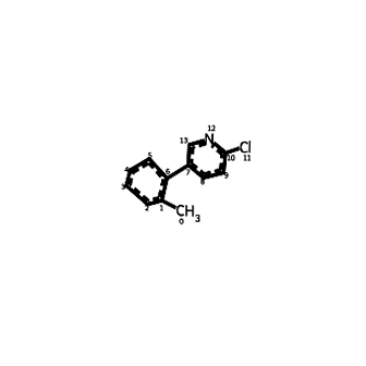 Cc1ccccc1-c1ccc(Cl)nc1